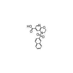 O=C(O)c1cnc2c(c1)N(S(=O)(=O)c1ccc3ccccc3c1)CCO2